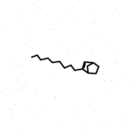 CCCCCCCCCC1=CC2CCC1C2